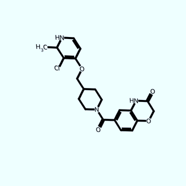 CC1NC=CC(OCC2CCN(C(=O)c3ccc4c(c3)NC(=O)CO4)CC2)=C1Cl